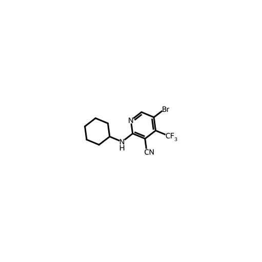 N#Cc1c(NC2CCCCC2)ncc(Br)c1C(F)(F)F